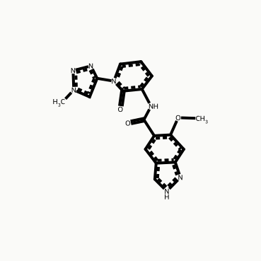 COc1cc2n[nH]cc2cc1C(=O)Nc1cccn(-c2cn(C)nn2)c1=O